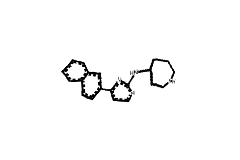 c1ccc2cc(-c3ccnc(NC4CCCNCC4)n3)ccc2c1